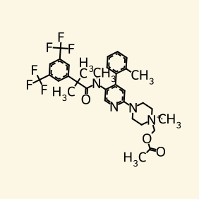 CC(=O)OC[N+]1(C)CCN(c2cc(-c3ccccc3C)c(N(C)C(=O)C(C)(C)c3cc(C(F)(F)F)cc(C(F)(F)F)c3)cn2)CC1